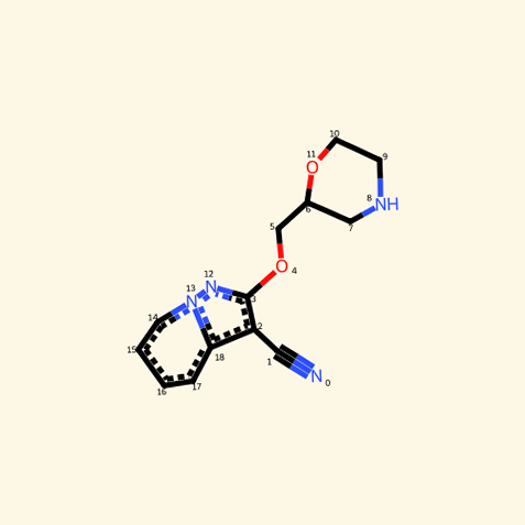 N#Cc1c(OCC2CNCCO2)nn2ccccc12